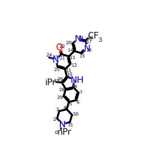 CCCN1CCC(c2ccc3[nH]c(-c4cc(-c5cnc(C(F)(F)F)nc5)c(=O)n(C)c4)c(C(C)C)c3c2)CC1